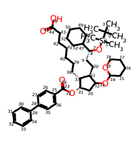 CC(C)(C)[Si](C)(C)O[C@H](CC[C@H]1C(OC2CCCCO2)C[C@H](OC(=O)c2ccc(-c3ccccc3)cc2)[C@@H]1CCCCCCC(=O)O)C1CCCCC1